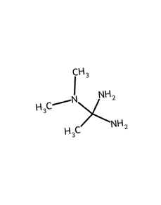 CN(C)C(C)(N)N